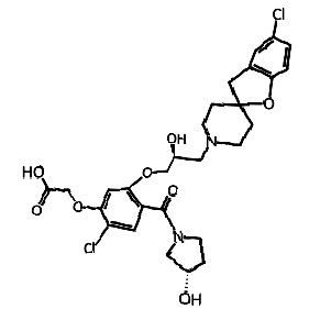 O=C(O)COc1cc(OC[C@@H](O)CN2CCC3(CC2)Cc2cc(Cl)ccc2O3)c(C(=O)N2CC[C@H](O)C2)cc1Cl